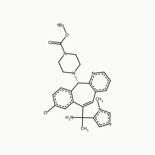 Cn1cncc1C(C)(N)C1=Cc2cccnc2[C@@H](N2CCN(C(=O)OC(C)(C)C)CC2)c2ccc(Cl)cc21